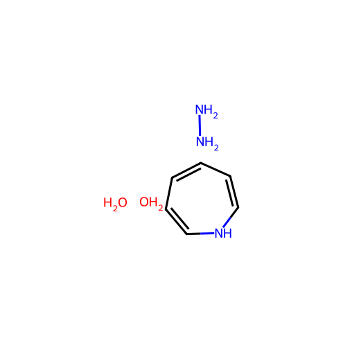 C1=CC=CNC=C1.NN.O.O